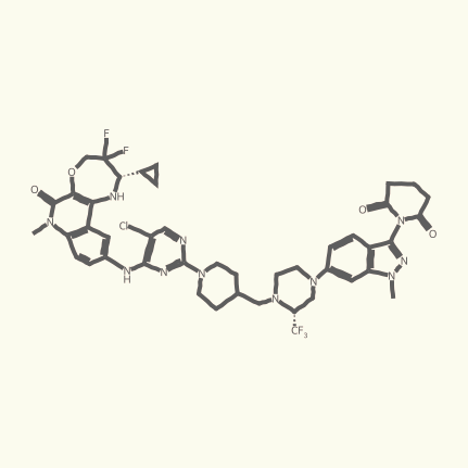 Cn1nc(N2C(=O)CCCC2=O)c2ccc(N3CCN(CC4CCN(c5ncc(Cl)c(Nc6ccc7c(c6)c6c(c(=O)n7C)OCC(F)(F)[C@H](C7CC7)N6)n5)CC4)[C@@H](C(F)(F)F)C3)cc21